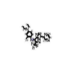 CCN(CC)c1ccc(/N=C2/C(C(F)(F)F)=Nn3c2nnc3-c2cnccn2)c(C)c1